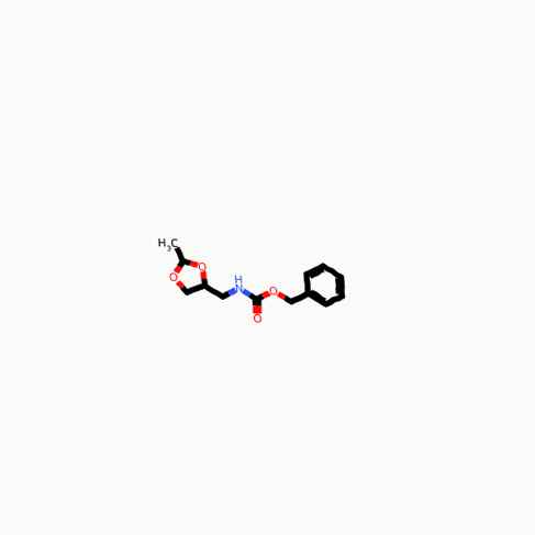 CC1OCC(CNC(=O)OCc2ccccc2)O1